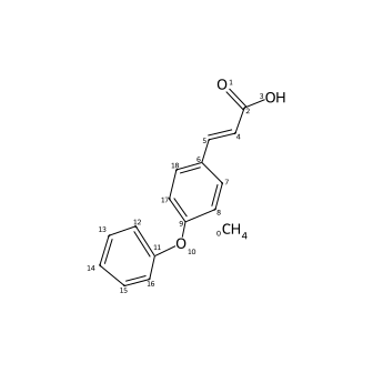 C.O=C(O)C=Cc1ccc(Oc2ccccc2)cc1